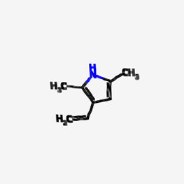 C=Cc1cc(C)[nH]c1C